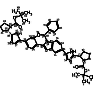 CC(C)(C)OC(=O)N1CCCC1c1ncc(-c2ccc3c(c2)cc2n3[C@H](c3ccccc3)Oc3cc(-c4cnc([C@@H]5CCCN5C(=O)OC(C)(C)C)[nH]4)ccc3-2)[nH]1